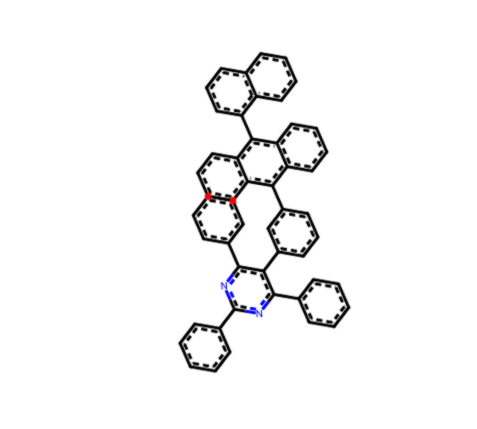 c1ccc(-c2nc(-c3ccccc3)c(-c3cccc(-c4c5ccccc5c(-c5cccc6ccccc56)c5ccccc45)c3)c(-c3ccccc3)n2)cc1